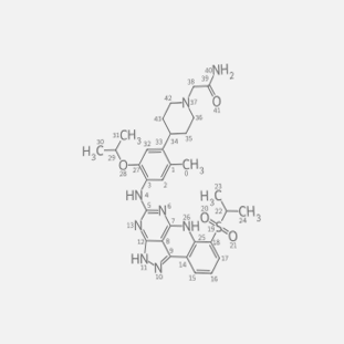 Cc1cc(Nc2nc3c4c(n[nH]c4n2)-c2cccc(S(=O)(=O)C(C)C)c2N3)c(OC(C)C)cc1C1CCN(CC(N)=O)CC1